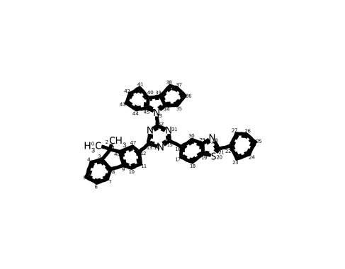 CC1(C)c2ccccc2-c2ccc(-c3nc(-c4ccc5sc(-c6ccccc6)nc5c4)nc(-n4c5ccccc5c5ccccc54)n3)cc21